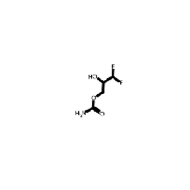 NC(=O)OCC(O)C(F)F